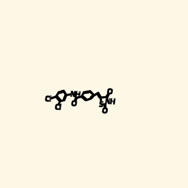 O=C1NC(=O)C(=Cc2ccc(C(=O)Nc3ccc(Cl)c(Cl)c3)cc2)S1